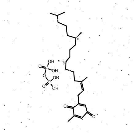 CC(=CCC1=CC(=O)C=C(C)C1=O)CCC[C@H](C)CCC[C@H](C)CCCC(C)C.O=P(O)(O)OP(=O)(O)O